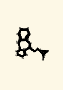 IC1CC1CCC1Cc2ccccc2Cc2ccccc21